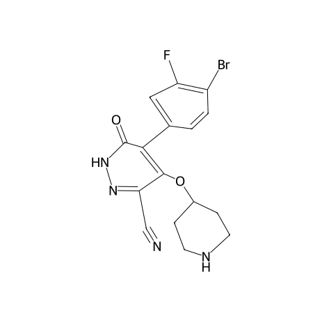 N#Cc1n[nH]c(=O)c(-c2ccc(Br)c(F)c2)c1OC1CCNCC1